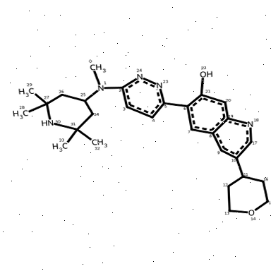 CN(c1ccc(-c2cc3cc(C4CCOCC4)cnc3cc2O)nn1)C1CC(C)(C)NC(C)(C)C1